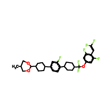 CC1COC(C2CCC(c3ccc(C4CCC(C(F)(F)Oc5cc(F)c(C=C(F)F)c(F)c5)CC4)c(F)c3)CC2)OC1